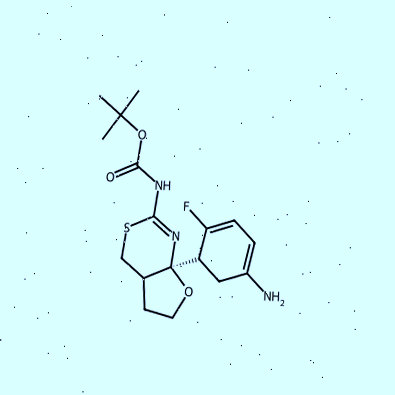 CC(C)(C)OC(=O)NC1=N[C@@]2(C3CC(N)=CC=C3F)OCCC2CS1